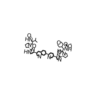 COC(=O)N[C@H](C(=O)N1CCC[C@H]1c1ncc(-c2ccc(-c3ccc4cc(-c5c[nH]c([C@@H]6CCCN6C(=O)[C@@H](NC=O)C(C)C)n5)cnc4c3)nc2)[nH]1)C1CCOCC1